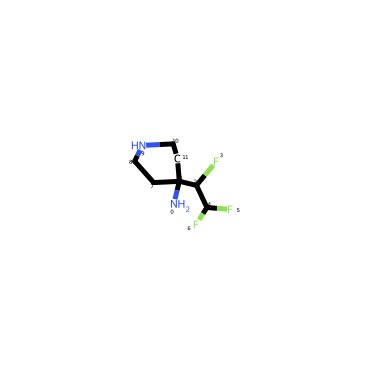 NC1(C(F)C(F)F)CCNCC1